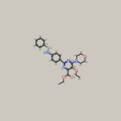 CCOC(=O)c1nc(-c2ccc(NSc3ccccc3)cc2)nc(N2CCOCC2)c1OCC